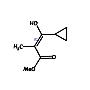 COC(=O)/C(C)=C(/O)C1CC1